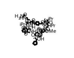 CC[C@H](C)[C@@H]([C@@H](CC(=O)N1CCC[C@H]1[C@H](OC)[C@@H](C)C(=O)N[C@H](C)[C@@H](O)c1ccccc1)OC)N(C)C(=O)[C@@H](NC(=O)[C@H](C(C)C)N(C)C(=O)OCc1ccc(NC(=O)[C@H](CCCNC(N)=O)NC(=O)[C@@H](NC(=O)C2(N3C(=O)C=CC3=O)CCNCC2)C(C)C)cc1)C(C)C